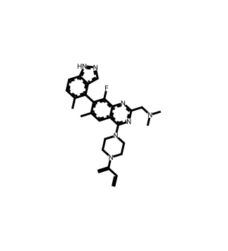 C=CC(=C)N1CCN(c2nc(CN(C)C)nc3c(F)c(-c4c(C)ccc5[nH]ncc45)c(C)cc23)CC1